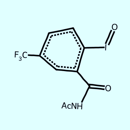 CC(=O)NC(=O)c1cc(C(F)(F)F)ccc1I=O